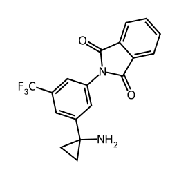 NC1(c2cc(N3C(=O)c4ccccc4C3=O)cc(C(F)(F)F)c2)CC1